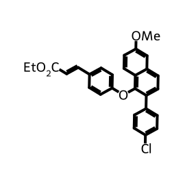 CCOC(=O)C=Cc1ccc(Oc2c(-c3ccc(Cl)cc3)ccc3cc(OC)ccc23)cc1